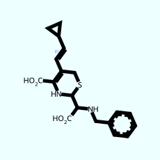 O=C(O)C1=C(/C=C/C2CC2)CSC(C(NCc2ccccc2)C(=O)O)N1